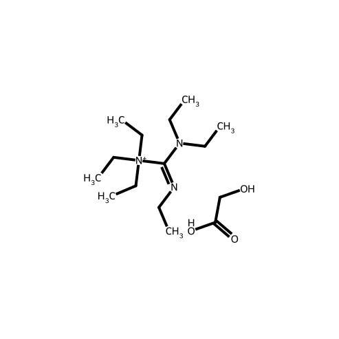 CCN=C(N(CC)CC)[N+](CC)(CC)CC.O=C(O)CO